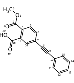 COC(=O)c1ccc(C#Cc2ccccc2)cc1C(=O)O